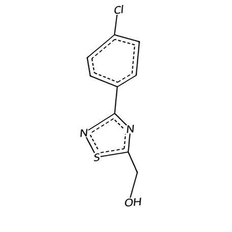 OCc1nc(-c2ccc(Cl)cc2)ns1